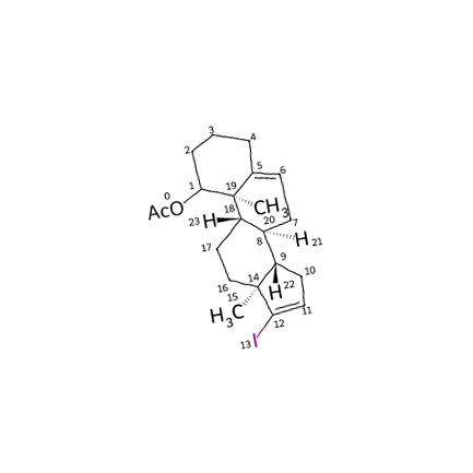 CC(=O)OC1CCCC2=CC[C@H]3[C@@H]4CC=C(I)[C@@]4(C)CC[C@@H]3[C@]21C